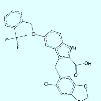 O=C(O)c1[nH]c2ccc(OCc3ccccc3C(F)(F)F)cc2c1Cc1cc2c(cc1Cl)OCO2